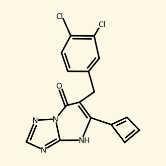 O=c1c(Cc2ccc(Cl)c(Cl)c2)c(C2=CC=C2)[nH]c2ncnn12